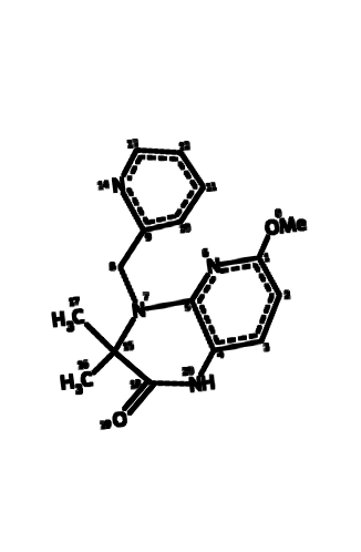 COc1ccc2c(n1)N(Cc1ccccn1)C(C)(C)C(=O)N2